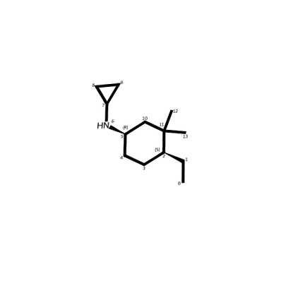 CC[C@H]1CC[C@@H](NC2CC2)CC1(C)C